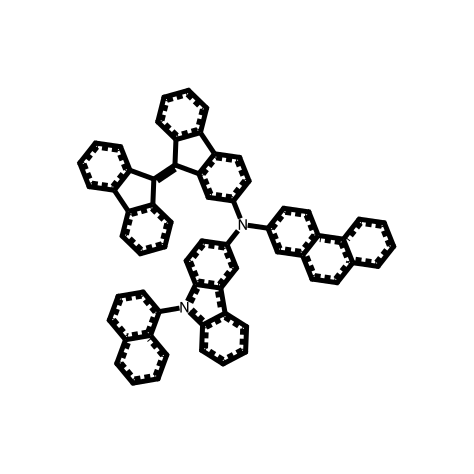 c1ccc2c(c1)C(=C1c3ccccc3-c3ccc(N(c4ccc5c(ccc6ccccc65)c4)c4ccc5c(c4)c4ccccc4n5-c4cccc5ccccc45)cc31)c1ccccc1-2